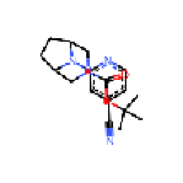 CC(C)(C)OC(=O)N1CC2CCC(C1)N2c1cc(C#N)ccn1